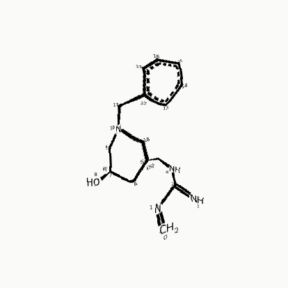 C=NC(=N)N[C@H]1C[C@@H](O)CN(Cc2ccccc2)C1